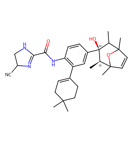 CC1C2(C)C=CC(C)(O2)[C@@H](C)[C@]1(O)c1ccc(NC(=O)C2=NC(C#N)CN2)c(C2=CCC(C)(C)CC2)c1